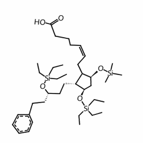 CC[Si](CC)(CC)O[C@@H](CCc1ccccc1)CC[C@@H]1C(C/C=C\CCCC(=O)O)[C@@H](O[Si](C)(C)C)C[C@H]1O[Si](CC)(CC)CC